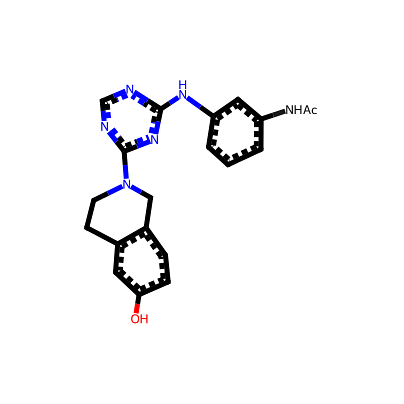 CC(=O)Nc1cccc(Nc2ncnc(N3CCc4cc(O)ccc4C3)n2)c1